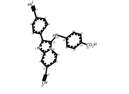 C#Cc1ccc(-c2nc3cc(C#C)ccn3c2Nc2ccc(C(=O)O)cc2)cc1